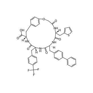 O=C1COc2ccc(cc2)C[C@@H](C(=O)O)NC(=O)[C@@H](Cc2ccc(C(F)(F)F)cc2)NC(=O)[C@H](Cc2ccc(-c3ccccc3)cc2)NC(=O)[C@@H](Cc2cccs2)N1